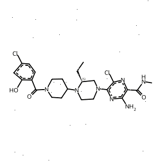 CC[C@H]1CN(c2nc(N)c(C(=O)NC)nc2Cl)CCN1C1CCN(C(=O)c2ccc(Cl)cc2O)CC1